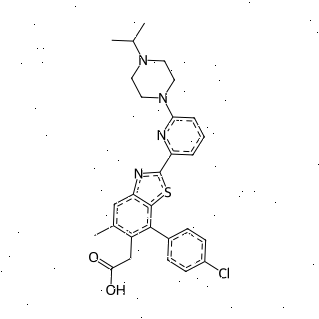 Cc1cc2nc(-c3cccc(N4CCN(C(C)C)CC4)n3)sc2c(-c2ccc(Cl)cc2)c1CC(=O)O